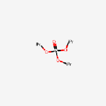 CC(C)[O][V-](=[O])([O]C(C)C)[O]C(C)C